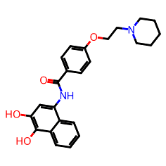 O=C(Nc1cc(O)c(O)c2ccccc12)c1ccc(OCCN2CCCCC2)cc1